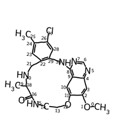 COc1cc2ncnc3c2cc1OCCNC(=O)C(C)NCc1cc(C)c(Cl)cc1N3